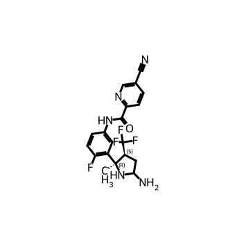 C[C@@]1(c2cc(NC(=O)c3ccc(C#N)cn3)ccc2F)NC(N)C[C@@H]1C(F)(F)F